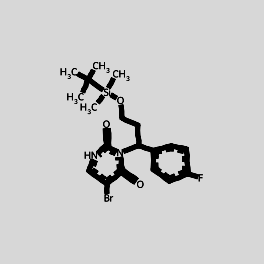 CC(C)(C)[Si](C)(C)OCCC(c1ccc(F)cc1)n1c(=O)[nH]cc(Br)c1=O